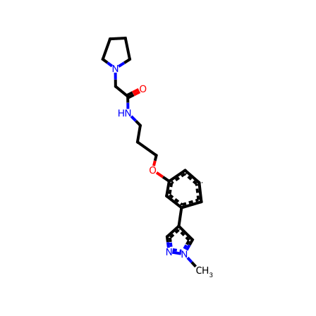 Cn1cc(-c2c[c]cc(OCCCNC(=O)CN3CCCC3)c2)cn1